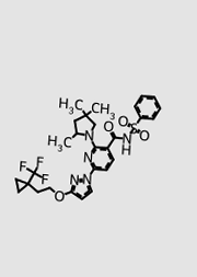 CC1CC(C)(C)CN1c1nc(-n2ccc(OCCC3(C(F)(F)F)CC3)n2)ccc1C(=O)NS(=O)(=O)c1ccccc1